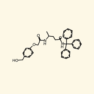 CC(CCC(=O)NC(c1ccccc1)(c1ccccc1)c1ccccc1)NC(=O)COc1ccc(CO)cc1